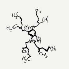 CCCCC(CC)CNc1cc(NCC(CC)CCCC)c(NCC(CC)CCCC)cc1NCC(CC)CCCC